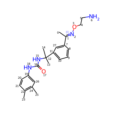 C/C(=N\OCCN)c1cccc(C(C)(C)NC(=O)Nc2ccc(C)c(C)c2)c1